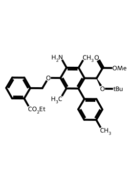 CCOC(=O)c1ccccc1COc1c(C)c(-c2ccc(C)cc2)c([C@H](OC(C)(C)C)C(=O)OC)c(C)c1N